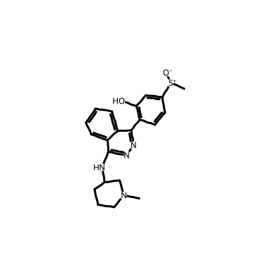 CN1CCCC(Nc2nnc(-c3ccc([S+](C)[O-])cc3O)c3ccccc23)C1